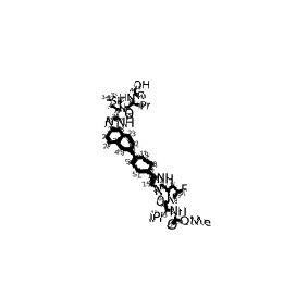 COC(=O)N[C@H](C(=O)N1CC(F)CC1c1ncc(-c2ccc(-c3ccc4c(ccc5nc([C@@H]6C[Si](C)(C)CN6C(=O)C(NC(=O)CO)C(C)C)[nH]c54)c3)cc2)[nH]1)C(C)C